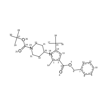 Cc1c(C(=O)OCc2ccccc2)cc(C(C)(C)C)n1C1CCN(C(=O)OC(C)(C)C)CC1